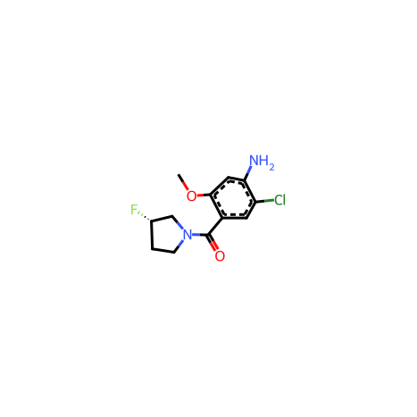 COc1cc(N)c(Cl)cc1C(=O)N1CC[C@H](F)C1